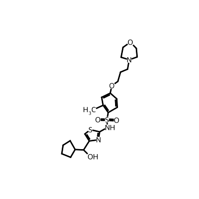 Cc1cc(OCCCN2CCOCC2)ccc1S(=O)(=O)Nc1nc(C(O)C2CCCC2)cs1